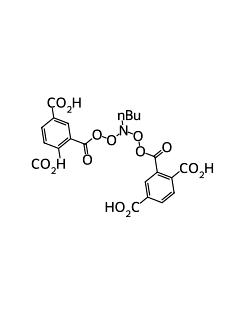 CCCCN(OOC(=O)c1cc(C(=O)O)ccc1C(=O)O)OOC(=O)c1cc(C(=O)O)ccc1C(=O)O